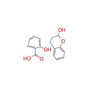 O=C(O)c1ccccc1O.OC1CCc2ccccc2O1